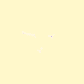 CCN=Cc1cnccc1N=[N+]=[N-]